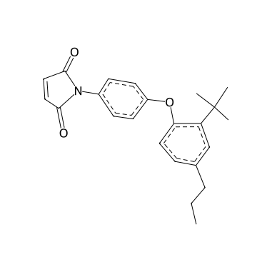 CCCc1ccc(Oc2ccc(N3C(=O)C=CC3=O)cc2)c(C(C)(C)C)c1